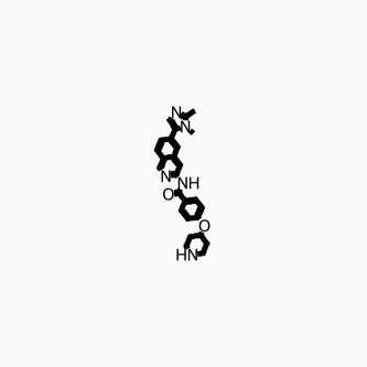 Cc1ncc(-c2ccc3cnc(NC(=O)c4ccc(OC5CCNCC5)cc4)cc3c2)n1C